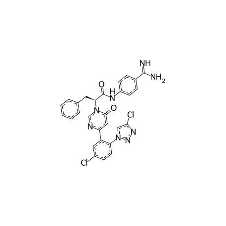 N=C(N)c1ccc(NC(=O)[C@H](Cc2ccccc2)n2cnc(-c3cc(Cl)ccc3-n3cc(Cl)nn3)cc2=O)cc1